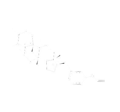 CN1C(=O)CC[C@]2(C)[C@H]3CC[C@]4(C)[C@@H](Oc5cccc(NC=O)c5)CC[C@H]4[C@@H]3CC[C@@H]12